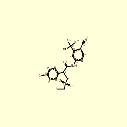 CCS(=O)(=O)CC(C(=O)Nc1ccc(C#N)c(C(F)(F)F)c1)c1ccc(Cl)nc1